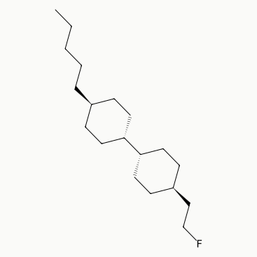 CCCCC[C@H]1CC[C@H]([C@H]2CC[C@H](CCF)CC2)CC1